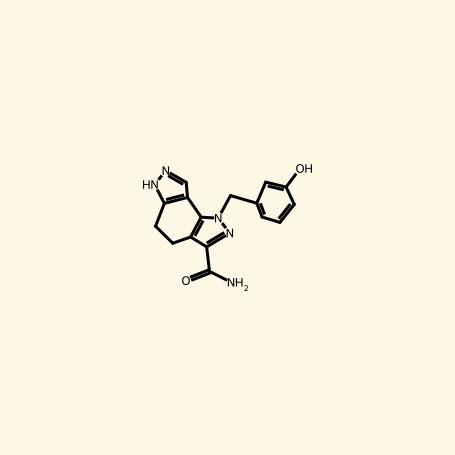 NC(=O)c1nn(Cc2cccc(O)c2)c2c1CCc1[nH]ncc1-2